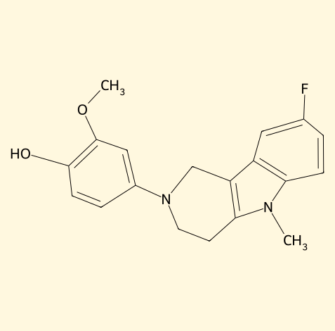 COc1cc(N2CCc3c(c4cc(F)ccc4n3C)C2)ccc1O